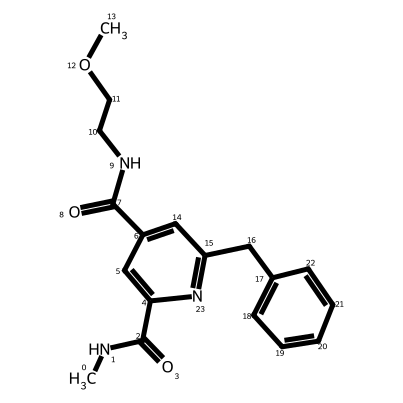 CNC(=O)c1cc(C(=O)NCCOC)cc(Cc2ccccc2)n1